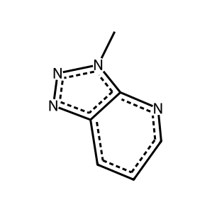 Cn1nnc2cccnc21